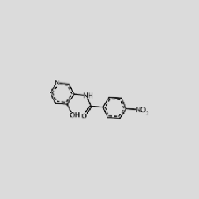 O=C(Nc1cnccc1O)c1ccc([N+](=O)[O-])cc1